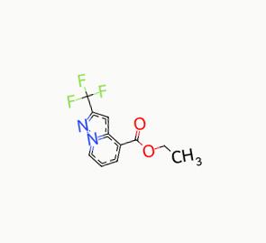 CCOC(=O)c1cccn2nc(C(F)(F)F)cc12